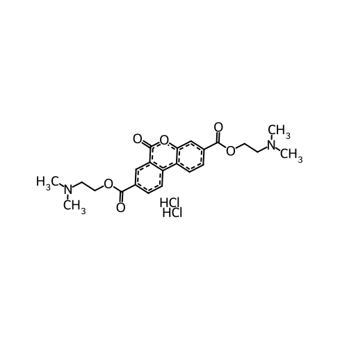 CN(C)CCOC(=O)c1ccc2c(c1)oc(=O)c1cc(C(=O)OCCN(C)C)ccc12.Cl.Cl